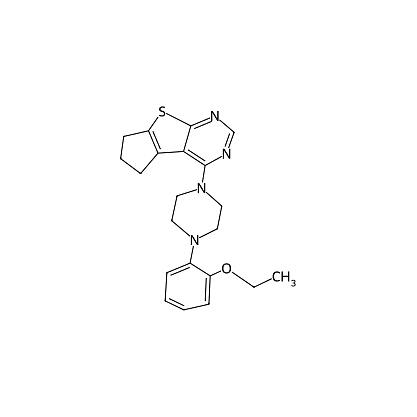 CCOc1ccccc1N1CCN(c2ncnc3sc4c(c23)CCC4)CC1